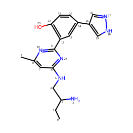 CCC(N)CNc1cc(C)nc(-c2cc(-c3cn[nH]c3)ccc2O)n1